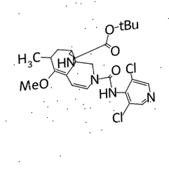 COC1=C2C=CN(C(=O)Nc3c(Cl)cncc3Cl)CC23NC(C(=O)OC(C)(C)C)CC3CC1C